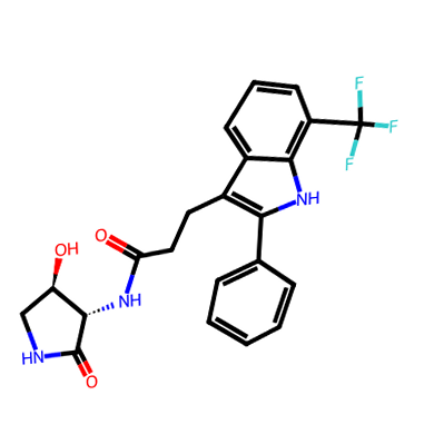 O=C(CCc1c(-c2ccccc2)[nH]c2c(C(F)(F)F)cccc12)N[C@@H]1C(=O)NC[C@H]1O